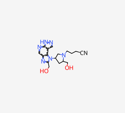 N#CCCCN1CC(n2c(CO)nc3cnc4[nH]ncc4c32)CC1CO